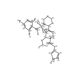 CC(C)CC(NC(=O)C1CCCCN1S(=O)(=O)N(C)c1c(F)cc(F)cc1F)C(=O)NCc1cnn(C)c1